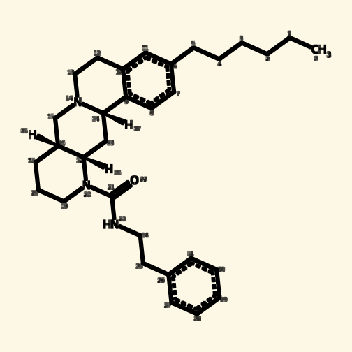 CCCCCCc1ccc2c(c1)CCN1C[C@H]3CCCN(C(=O)NCCc4ccccc4)[C@H]3C[C@@H]21